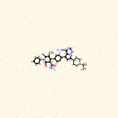 Cc1c(C#N)c(-c2ccc(-c3cc(C4CCN(C(=O)C(C)C)CC4)n4ncnc(N)c34)cc2)c(C(N)=O)c(=O)n1-c1ccccc1